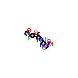 COC(=O)N1CCOc2ncc(Nc3cc4c(cn3)-c3cc(F)c(N5CCCC5=O)cc3OC4C)cc21